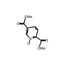 COC(=O)c1ccc(C(=O)OC)[n+]([O-])c1